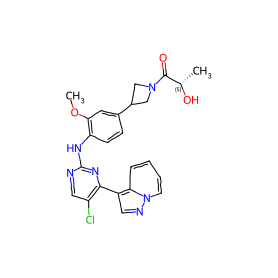 COc1cc(C2CN(C(=O)[C@H](C)O)C2)ccc1Nc1ncc(Cl)c(-c2cnn3ccccc23)n1